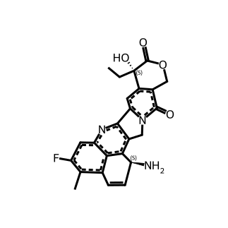 CC[C@@]1(O)C(=O)OCc2c1cc1n(c2=O)Cc2c-1nc1cc(F)c(C)c3c1c2[C@@H](N)C=C3